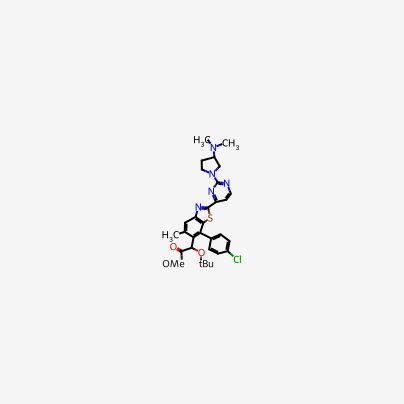 COC(=O)C(OC(C)(C)C)c1c(C)cc2nc(-c3ccnc(N4CCC(N(C)C)C4)n3)sc2c1-c1ccc(Cl)cc1